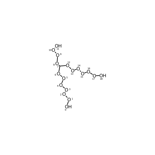 OOOOOOOC(OOOO)OOOOOOO